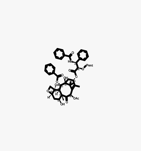 CCCC(C)O[C@@H](C(=O)O[C@H]1C[C@@]2(O)[C@@H](OC(=O)c3ccccc3)[C@@H]3[C@]4(OC(C)=O)CO[C@@H]4C[C@H](O)[C@@]3(C)C(=O)[C@H](OC(C)=O)C(=C1C)C2(C)C)[C@@H](NC(=O)c1ccccc1)c1ccccc1